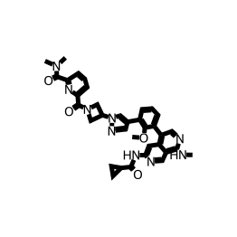 CNc1ncc(-c2cccc(-c3cnn(C4CN(C(=O)c5cccc(C(=O)N(C)C)n5)C4)c3)c2OC)c2cc(NC(=O)C3CC3)ncc12